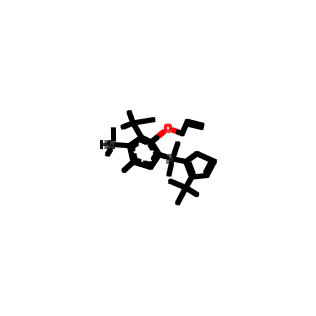 C=CCOc1c([Si](C)(C)C2=C(C(C)(C)C)C=CC2)cc(C)c([SiH](C)C)c1C(C)(C)C